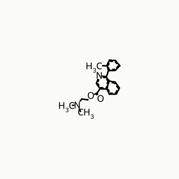 Cc1ccccc1-c1ncc(C(=O)OCCN(C)C)c2ccccc12